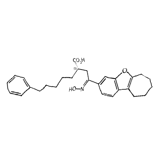 O=C(O)[C@@H](CCCCCc1ccccc1)CC(=NO)c1ccc2c3c(oc2c1)CCCCC3